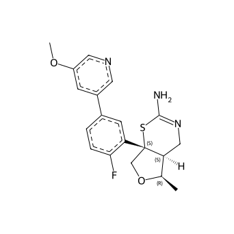 COc1cncc(-c2ccc(F)c([C@]34CO[C@H](C)[C@@H]3CN=C(N)S4)c2)c1